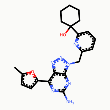 Cc1ccc(-c2nc(N)nc3c2nnn3Cc2cccc(C3(O)CCCCC3)n2)o1